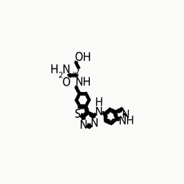 NC(=O)[C@H](CCO)NCC1CCc2c(sc3ncnc(Nc4ccc5[nH]ncc5c4)c23)C1